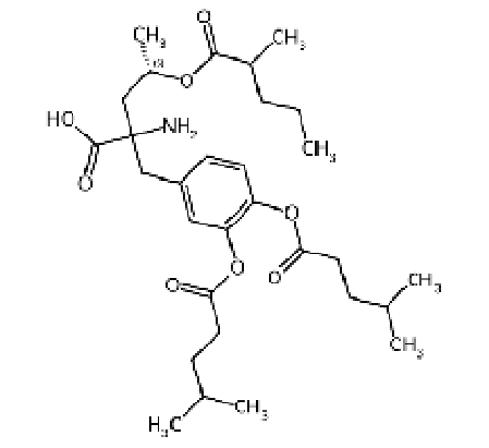 CCCC(C)C(=O)O[C@@H](C)CC(N)(Cc1ccc(OC(=O)CCC(C)C)c(OC(=O)CCC(C)C)c1)C(=O)O